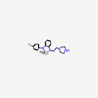 CN(CCN1CCNCC1)c1ccccc1N(C)c1ccc(F)cc1